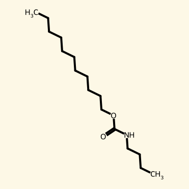 CCCCCCCCCCCOC(=O)NCCCC